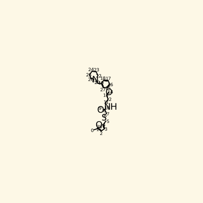 Cc1ccc(CSCC(=O)NCCCOc2cccc(CN3CCCCC3)c2)o1